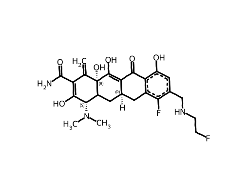 C=C1C(C(N)=O)=C(O)[C@@H](N(C)C)C2C[C@@H]3Cc4c(F)c(CNCCF)cc(O)c4C(=O)C3=C(O)[C@]12O